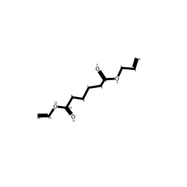 C=CCOC(=O)CCCCC(=O)OC=C